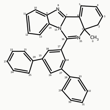 CC12CC=CC=C1c1nc3ccccc3n1C(c1cc(-c3ccccc3)cc(-c3ccccc3)c1)=N2